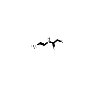 CC=CNC(=O)C[S]